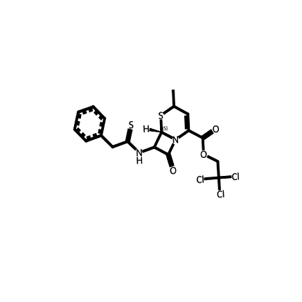 CC1C=C(C(=O)OCC(Cl)(Cl)Cl)N2C(=O)C(NC(=S)Cc3ccccc3)[C@@H]2S1